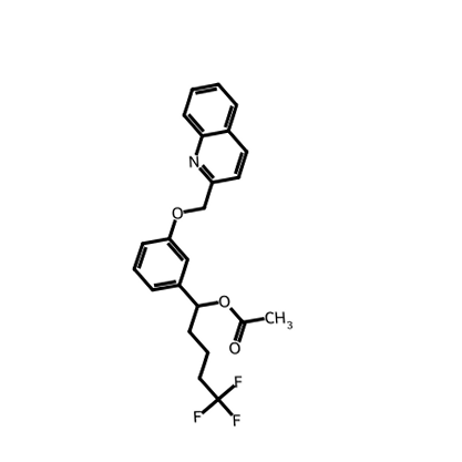 CC(=O)OC(CCCC(F)(F)F)c1cccc(OCc2ccc3ccccc3n2)c1